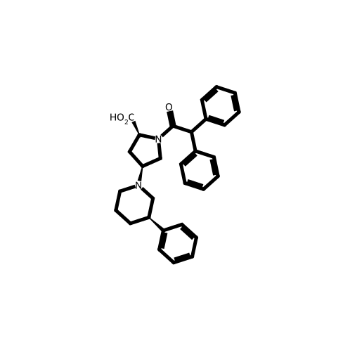 O=C(O)[C@@H]1C[C@H](N2CCC[C@H](c3ccccc3)C2)CN1C(=O)C(c1ccccc1)c1ccccc1